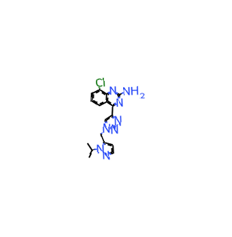 CC(C)n1nccc1Cn1cc(-c2nc(N)nc3c(Cl)cccc23)nn1